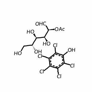 CC(=O)O[C@H](C=O)[C@@H](O)[C@H](O)[C@H](O)CO.Oc1c(Cl)c(Cl)c(Cl)c(Cl)c1Cl